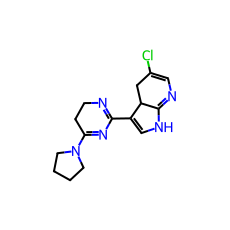 ClC1=CN=C2NC=C(C3=NCCC(N4CCCC4)=N3)C2C1